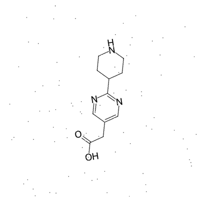 O=C(O)Cc1cnc(C2CCNCC2)nc1